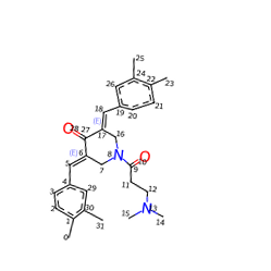 Cc1ccc(/C=C2\CN(C(=O)CCN(C)C)C/C(=C\c3ccc(C)c(C)c3)C2=O)cc1C